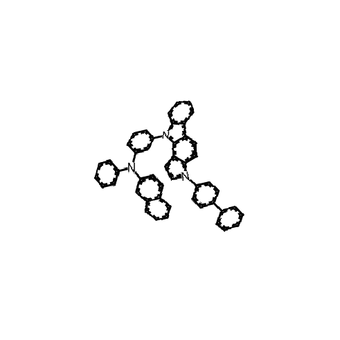 c1ccc(-c2ccc(-n3ccc4c3ccc3c5ccccc5n(-c5cccc(N(c6ccccc6)c6ccc7ccccc7c6)c5)c34)cc2)cc1